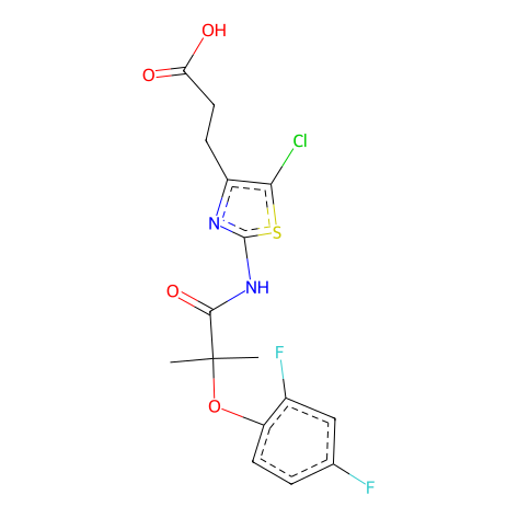 CC(C)(Oc1ccc(F)cc1F)C(=O)Nc1nc(CCC(=O)O)c(Cl)s1